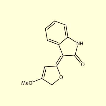 COC1=C/C(=C2/C(=O)Nc3ccccc32)OC1